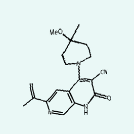 C=C(C)c1cc2c(N3CCC(C)(OC)CC3)c(C#N)c(=O)[nH]c2cn1